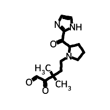 CC(C)(CCN1CCCC1C(=O)c1ncc[nH]1)C(=O)C=O